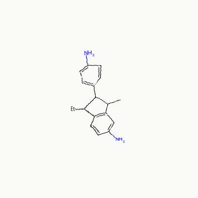 CCC1c2ccc(N)cc2C(C)C1c1ccc(N)cc1